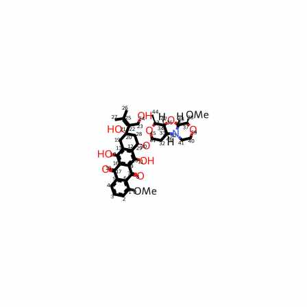 COc1cccc2c1C(=O)c1c(O)c3c(c(O)c1C2=O)C[C@@](O)(C(CO)=C(C)C)C[C@@H]3O[C@H]1C[C@H]2[C@H](O[C@@H]3[C@@H](OC)OCCN32)[C@H](C)O1